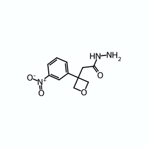 NNC(=O)CC1(c2cccc([N+](=O)[O-])c2)COC1